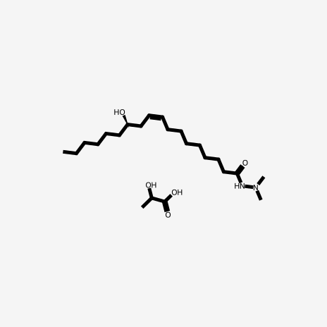 CC(O)C(=O)O.CCCCCC[C@@H](O)C/C=C\CCCCCCCC(=O)NN(C)C